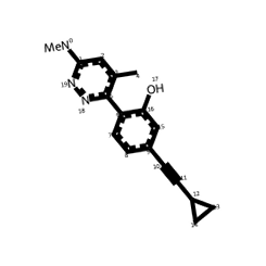 CNc1cc(C)c(-c2ccc(C#CC3CC3)cc2O)nn1